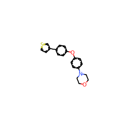 c1cc(-c2ccc(Oc3ccc(N4CCOCC4)cc3)cc2)cs1